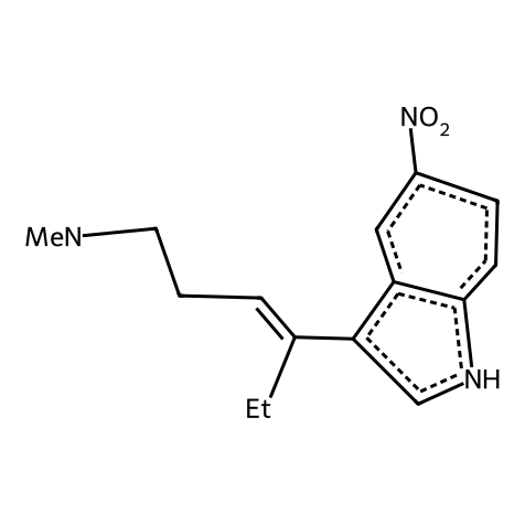 CCC(=CCCNC)c1c[nH]c2ccc([N+](=O)[O-])cc12